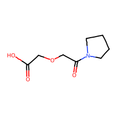 O=C(O)COCC(=O)N1CCCC1